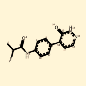 CC(F)C(=O)Nc1ccc(-c2ccn[nH]c2=O)cc1